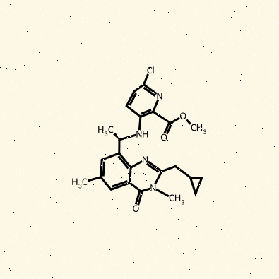 COC(=O)c1nc(Cl)ccc1N[C@H](C)c1cc(C)cc2c(=O)n(C)c(CC3CC3)nc12